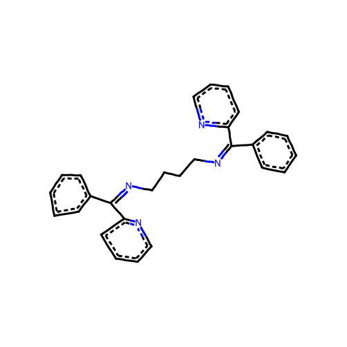 c1ccc(C(=NCCCCN=C(c2ccccc2)c2ccccn2)c2ccccn2)cc1